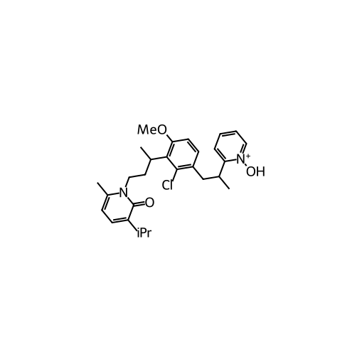 COc1ccc(CC(C)c2cccc[n+]2O)c(Cl)c1C(C)CCn1c(C)ccc(C(C)C)c1=O